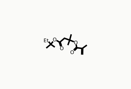 C=C(C)C(=O)OC(C)(C)CC(=O)OC(C)(C)CC